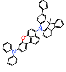 CC1(C)c2ccccc2-c2cccc(N(c3ccc(-c4ccccc4)cc3)c3ccc4c5c(cccc35)-c3ccc(N(c5ccccc5)c5ccccc5)cc3O4)c21